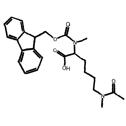 CC(=O)N(C)CCCCC(C(=O)O)N(C)C(=O)OCC1c2ccccc2-c2ccccc21